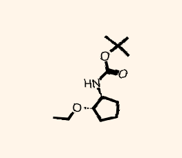 CCO[C@H]1CCC[C@@H]1NC(=O)OC(C)(C)C